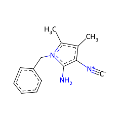 [C-]#[N+]c1c(C)c(C)n(Cc2ccccc2)c1N